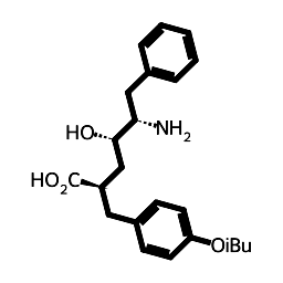 CC(C)COc1ccc(C[C@H](C[C@H](O)[C@@H](N)Cc2ccccc2)C(=O)O)cc1